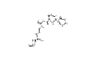 COCNC(=O)OCCOC(=O)CSc1nccc(-c2ccccn2)n1